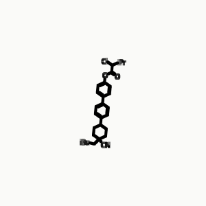 CCC(C)CC1(C#N)CCC(c2ccc(-c3ccc(OC(=O)C(Cl)C(C)C)cc3)cc2)CC1